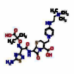 CC(C)(O/N=C(\C(=O)NC1C(=O)N2C(C(=O)O)=C(C[n+]3ccc(NCC[N+](C)(C)C)cc3)CSC12)c1nsc(N)n1)C(=O)O